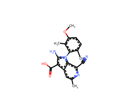 COc1ccc(C)c(-n2c(N)c(C(=O)O)c3cc(C)nc(C#N)c32)c1C